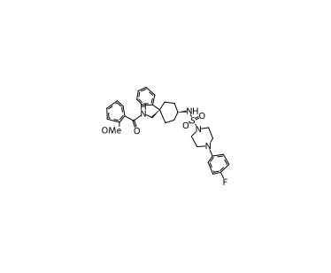 COc1ccccc1C(=O)NC[C@]1(c2ccccc2)CC[C@H](NS(=O)(=O)N2CCN(c3ccc(F)cc3)CC2)CC1